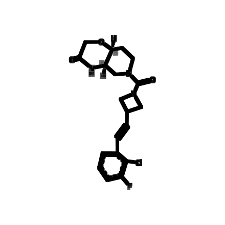 O=C1CO[C@H]2CCN(C(=O)N3CC(C#Cc4cccc(F)c4Cl)C3)C[C@H]2N1